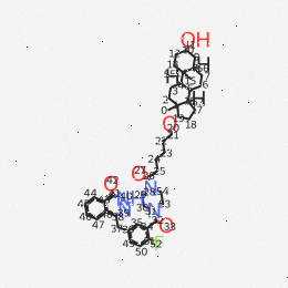 CC12CC[C@H]3C(CC[C@H]4CC(O)CCC43C)[C@@H]1CCC2OCCCCCC(=O)N1CCN(C(=O)c2cc(Cc3n[nH]c(=O)c4ccccc34)ccc2F)CC1